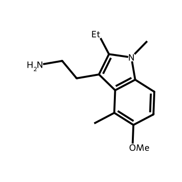 CCc1c(CCN)c2c(C)c(OC)ccc2n1C